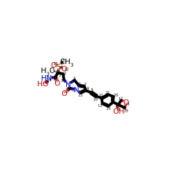 C[C@](CCN1Cc2cc(C#Cc3ccc(C4(O)COC4)cc3)cn2C1=O)(C(=O)NO)S(C)(=O)=O